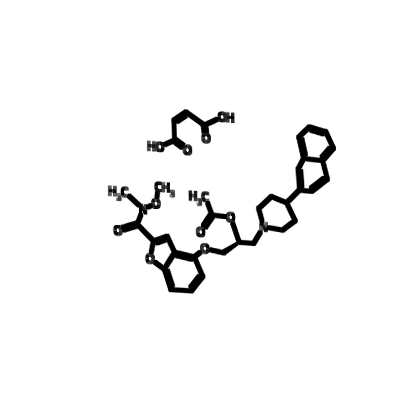 CON(C)C(=O)c1cc2c(OC[C@H](CN3CCC(c4ccc5ccccc5c4)CC3)OC(C)=O)cccc2o1.O=C(O)/C=C\C(=O)O